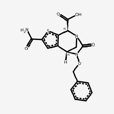 NC(=O)c1cc2c(s1)[C@@H](C(=O)O)N1C[C@@H]2N(OCc2ccccc2)C1=O